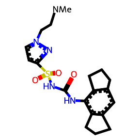 CNCCn1ccc(S(=O)(=O)NC(=O)Nc2c3c(cc4c2CCC4)CCC3)n1